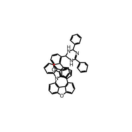 c1ccc(C2=NC(c3ccccc3)NC(c3cccc4oc5cc(-c6cccc7oc8cccc(-n9c%10ccccc%10c%10ccccc%109)c8c67)ccc5c34)N2)cc1